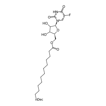 CCCCCCCCCCCCCCCCCCCCCC(=O)OC[C@@H]1O[C@H](n2cc(F)c(=O)[nH]c2=O)C(O)C1O